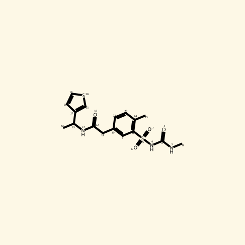 CNC(=O)NS(=O)(=O)c1cc(CC(=O)NC(C)c2ccsc2)ccc1C